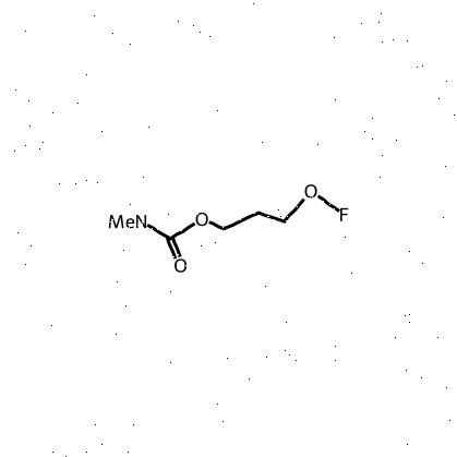 CNC(=O)OCCCOF